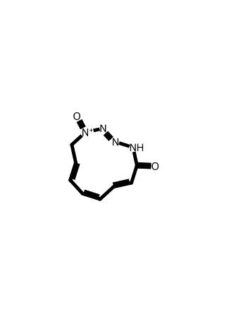 O=C1/C=C/C=C\C=C\C[N+](=O)/N=N/N1